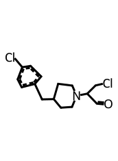 O=CC(CCl)N1CCC(Cc2ccc(Cl)cc2)CC1